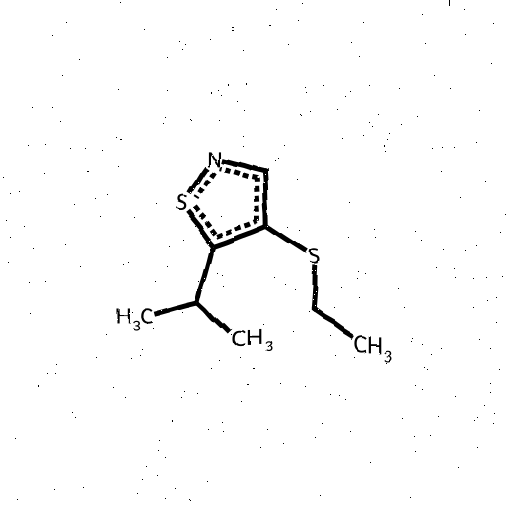 CCSc1cnsc1C(C)C